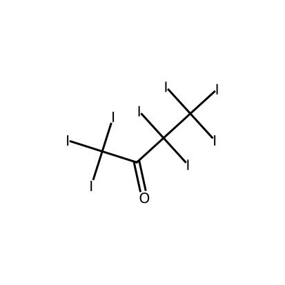 O=C(C(I)(I)I)C(I)(I)C(I)(I)I